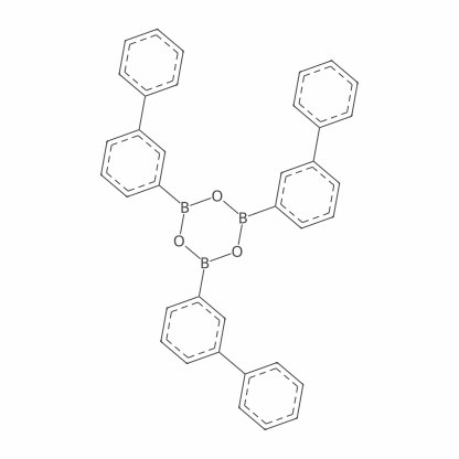 c1ccc(-c2cccc(B3OB(c4cccc(-c5ccccc5)c4)OB(c4cccc(-c5ccccc5)c4)O3)c2)cc1